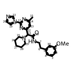 COc1cccc(CCNC(=O)C(c2cc(C)nc(-n3ccnc3)n2)N2CCCCC2)c1